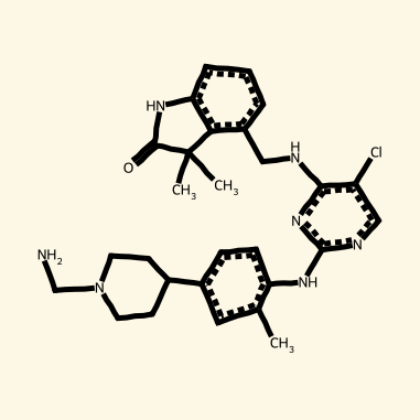 Cc1cc(C2CCN(CN)CC2)ccc1Nc1ncc(Cl)c(NCc2cccc3c2C(C)(C)C(=O)N3)n1